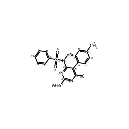 CCCCN(c1nc(SC)nc(Cl)c1-c1ccc(C)cc1)S(=O)(=O)c1ccccc1